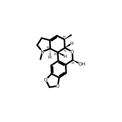 C[C@@H]1C=C2CCN(C)[C@@H]2[C@H]2c3cc4c(cc3[C@H](O)O[C@H]21)OCO4